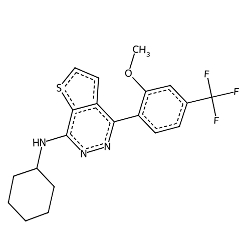 COc1cc(C(F)(F)F)ccc1-c1nnc(NC2CCCCC2)c2sccc12